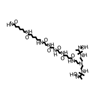 CNC(=O)CCCCCNC(=O)CCCCCNC(=O)CNC(=O)CNC(=O)CNC(=O)CCC(=O)NCCN(CCNC(C)(C)/C(C)=N\O)CCNC(C)(C)/C(C)=N\O